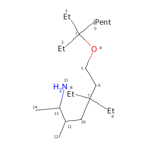 CCCC(C)C(CC)(CC)OCCC(CC)(CC)CC(C)C(C)N